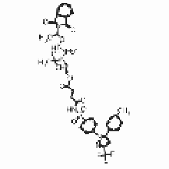 Cc1ccc(-c2cc(C(F)(F)F)nn2-c2ccc(S(=O)(=O)NC(=O)CCC(=O)OCCN(/[N+]([O-])=N/OC(C)N3C(=O)c4ccccc4C3=O)C(C)(C)C)cc2)cc1